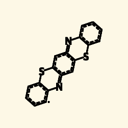 [c]1cccc2c1N=c1cc3c(cc1S2)=Nc1ccccc1S3